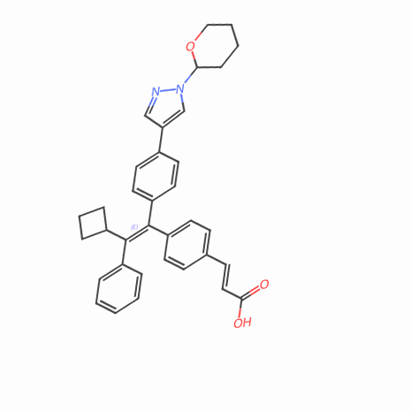 O=C(O)C=Cc1ccc(/C(=C(\c2ccccc2)C2CCC2)c2ccc(-c3cnn(C4CCCCO4)c3)cc2)cc1